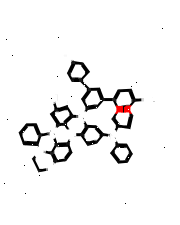 Cc1cc2c3c(c1)N(c1ccccc1)c1c(ccc4c1OCCO4)B3c1ccc(N(c3ccccc3)c3ccccc3)cc1N2c1cc(-c2ccc(C(C)(C)C)cc2)cc(-c2ccc(C(C)(C)C)cc2)c1